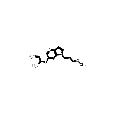 C=CC(C)Oc1cnc2ccn(CCCOC)c2c1